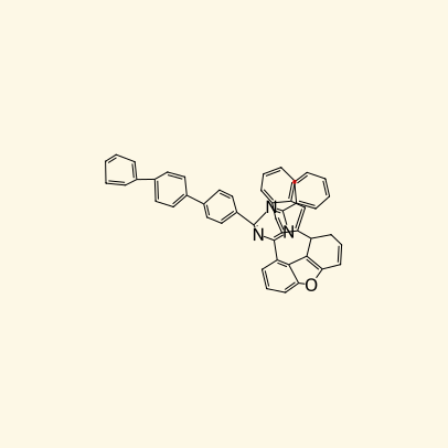 C1=Cc2oc3cccc(-c4nc(-c5ccccc5)nc(-c5ccc(-c6ccc(-c7ccccc7)cc6)cc5)n4)c3c2C(c2ccc3ccccc3c2)C1